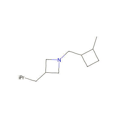 CC(C)CC1CN(CC2CCC2C)C1